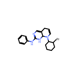 CC(C)C1CCCCC1N1C=CCC2=CN=C(Nc3ccccc3)NC21